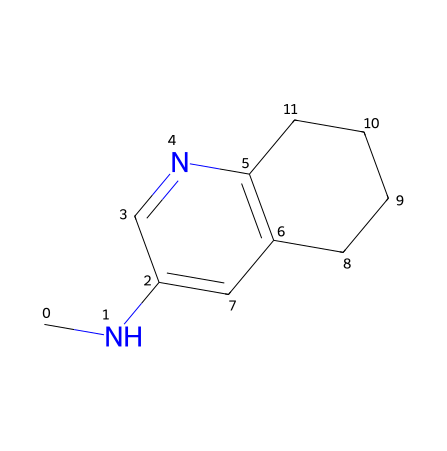 CNc1cnc2c(c1)CCCC2